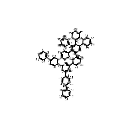 c1ccc(-c2ccc(-c3cc(-c4ccc(-c5ccccc5)cc4)nc(-c4cccc(-c5cc(-c6ccccc6)c(-c6ccccc6)c(-c6ccccc6)c5-c5ccccc5)c4)n3)cc2)cc1